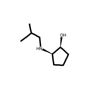 CC(C)CN[C@@H]1CCC[C@@H]1O